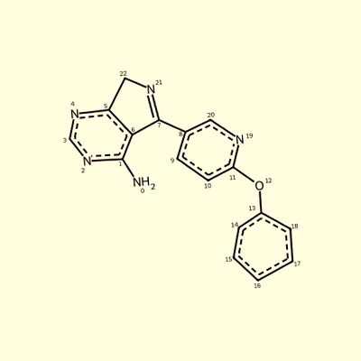 Nc1ncnc2c1C(c1ccc(Oc3ccccc3)nc1)=NC2